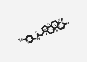 CN1C(=O)C=C[C@]2(C)[C@H]3CC[C@]4(C)C(CC(=O)Nc5ccc(N)nc5)CC[C@H]4[C@@H]3CC[C@@H]12